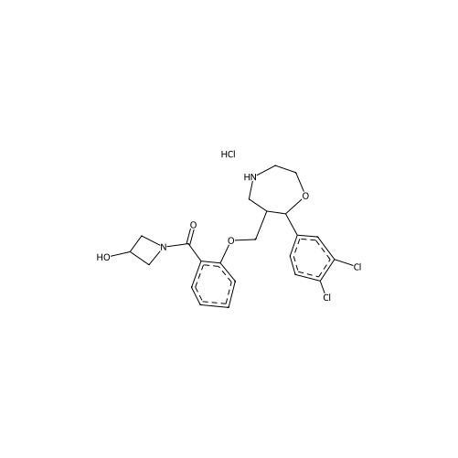 Cl.O=C(c1ccccc1OCC1CNCCOC1c1ccc(Cl)c(Cl)c1)N1CC(O)C1